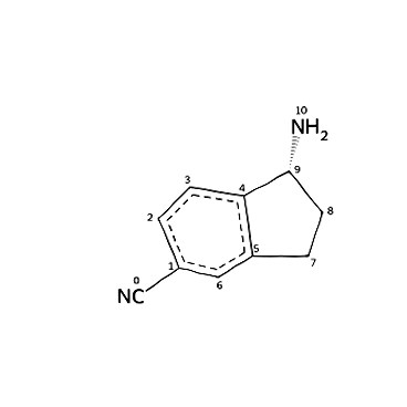 N#Cc1ccc2c(c1)CC[C@H]2N